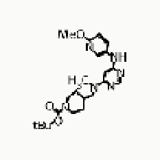 COc1ccc(Nc2cc(N(C)CC3CCN(C(=O)OC(C)(C)C)CC3)ncn2)cn1